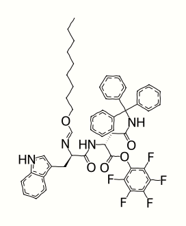 CCCCCCCCCO/C=N/[C@H](Cc1c[nH]c2ccccc12)C(=O)N[C@H](CC(=O)NC(c1ccccc1)(c1ccccc1)c1ccccc1)C(=O)Oc1c(F)c(F)c(F)c(F)c1F